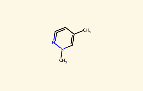 CC1=CN(C)N=C=C1